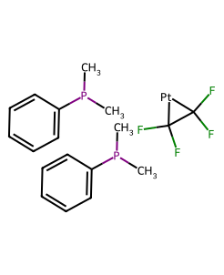 CP(C)c1ccccc1.CP(C)c1ccccc1.F[C]1(F)[Pt][C]1(F)F